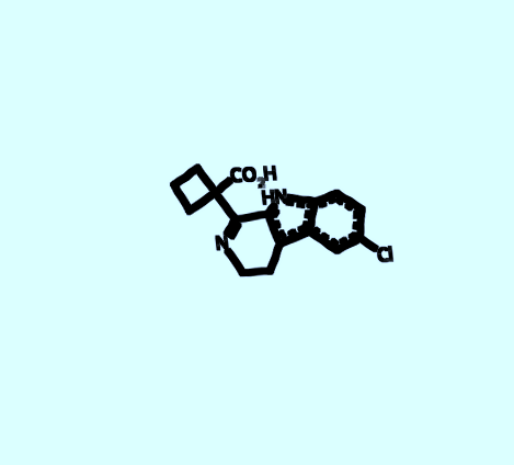 O=C(O)C1(C2=NCCc3c2[nH]c2ccc(Cl)cc32)CCC1